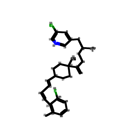 C=C(CCC(CCC)CC1=CC(Cl)=C=[N+]=C1)C1(C#N)CCC(/C=C/C=C\c2c(C)cccc2F)CC1